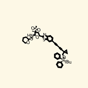 CC(C)(C)[Si](OCC1(C#CC#Cc2ccc3nc(CC[C@](C)(C(=O)NOC4CCCCO4)S(C)(=O)=O)sc3c2)CC1)(c1ccccc1)c1ccccc1